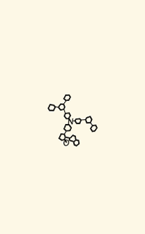 c1ccc(-c2cccc(-c3ccc(N(c4ccc(-c5cc(-c6ccccc6)cc(-c6ccccc6)c5)cc4)c4ccc(-c5cccc6oc7c8ccccc8ccc7c56)cc4)cc3)c2)cc1